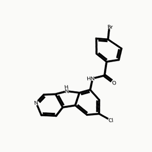 O=C(Nc1cc(Cl)cc2c1[nH]c1cnccc12)c1ccc(Br)cc1